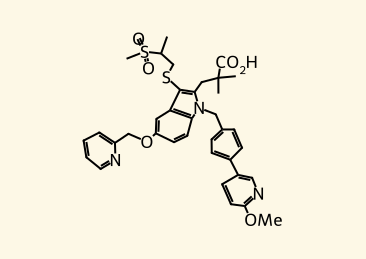 COc1ccc(-c2ccc(Cn3c(CC(C)(C)C(=O)O)c(SCC(C)S(C)(=O)=O)c4cc(OCc5ccccn5)ccc43)cc2)cn1